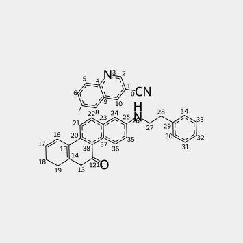 N#Cc1cnc2ccccc2c1.O=C1CC2=C(C=CCC2)c2ccc3cc(NCCc4ccccc4)ccc3c21